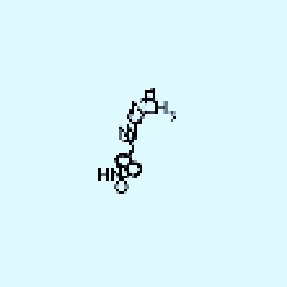 CC1(CN2CCC(n3cc(Cc4ccc5c6c(cccc46)C(=O)N5)cn3)CC2)CCC1